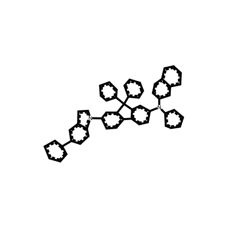 c1ccc(-c2ccc3c(ccn3-c3ccc4c(c3)C(c3ccccc3)(c3ccccc3)c3cc(N(c5ccccc5)c5ccc6ccccc6c5)ccc3-4)c2)cc1